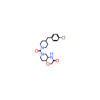 O=C1COC2CCN(C(=O)N3CCC(Cc4ccc(Cl)cc4)CC3)CC2N1